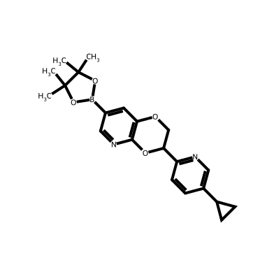 CC1(C)OB(c2cnc3c(c2)OCC(c2ccc(C4CC4)cn2)O3)OC1(C)C